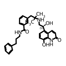 CC(C)(Cc1cccc(C(=O)NCCCc2ccccc2)c1)NC[C@@H](O)c1ccc(O)c2[nH]c(=O)ccc12